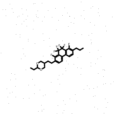 CCCc1ccc2c(c1F)C(F)(F)C(F)(F)c1c-2ccc(CCC2COC(CC)OC2)c1F